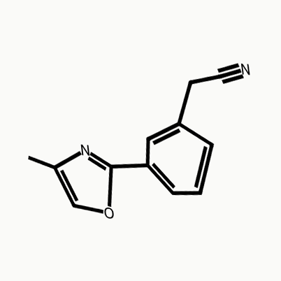 Cc1coc(-c2cccc(CC#N)c2)n1